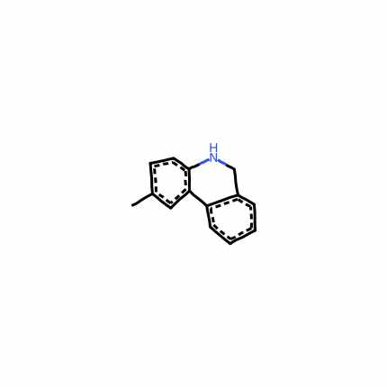 Cc1ccc2c(c1)-c1ccccc1CN2